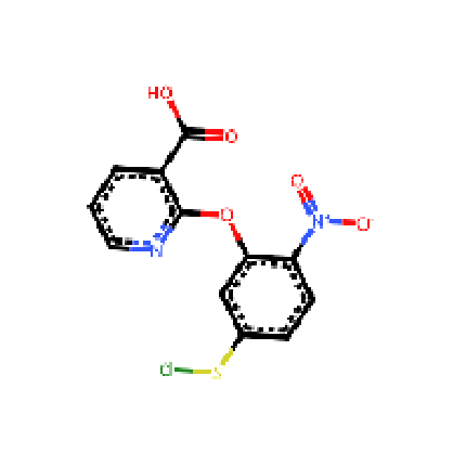 O=C(O)c1cccnc1Oc1cc(SCl)ccc1[N+](=O)[O-]